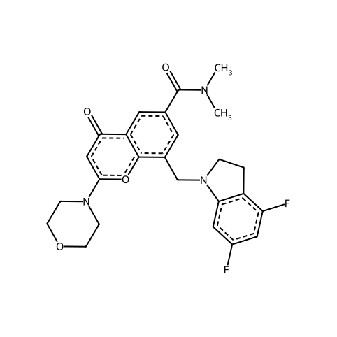 CN(C)C(=O)c1cc(CN2CCc3c(F)cc(F)cc32)c2oc(N3CCOCC3)cc(=O)c2c1